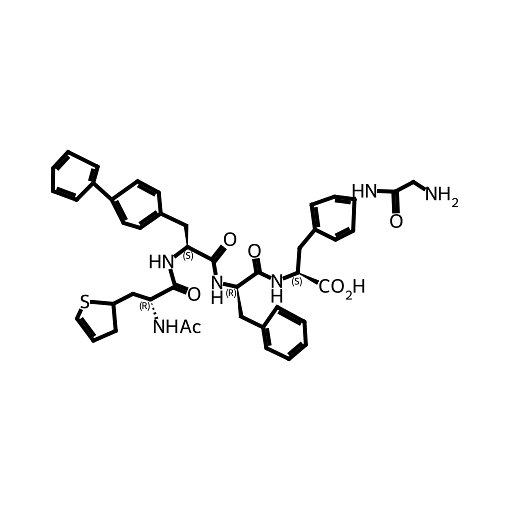 CC(=O)N[C@H](CC1CC=CS1)C(=O)N[C@@H](Cc1ccc(-c2ccccc2)cc1)C(=O)N[C@H](Cc1ccccc1)C(=O)N[C@@H](Cc1ccc(NC(=O)CN)cc1)C(=O)O